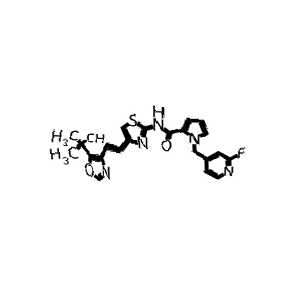 CC(C)(C)c1ocnc1C=Cc1csc(NC(=O)c2cccn2Cc2ccnc(F)c2)n1